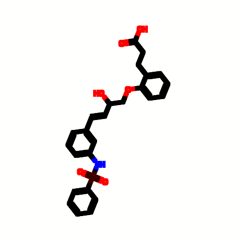 O=C(O)CCc1ccccc1OCC(O)C=Cc1cccc(NS(=O)(=O)c2ccccc2)c1